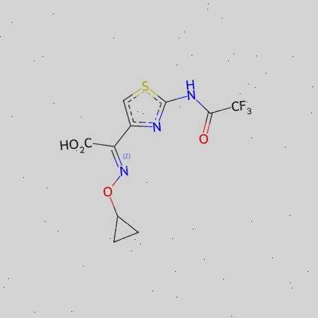 O=C(O)/C(=N\OC1CC1)c1csc(NC(=O)C(F)(F)F)n1